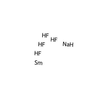 F.F.F.F.[NaH].[Sm]